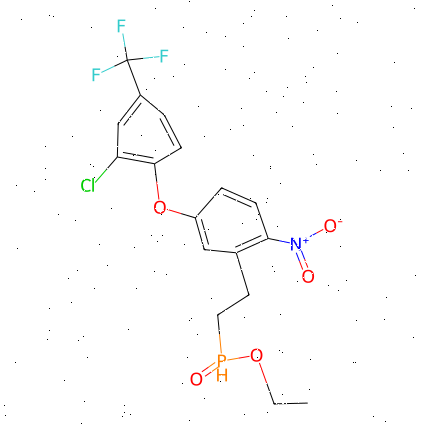 CCO[PH](=O)CCc1cc(Oc2ccc(C(F)(F)F)cc2Cl)ccc1[N+](=O)[O-]